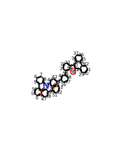 c1ccc(-c2ccccc2N(c2ccc(-c3cccc(-c4cccc5c4oc4c6ccccc6c6ccccc6c54)c3)cc2)c2ccccc2-c2ccccc2)cc1